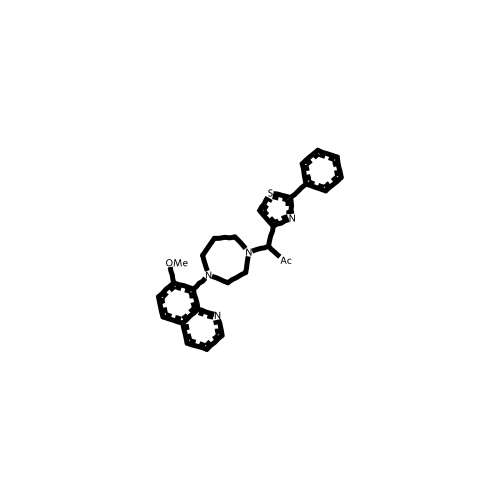 COc1ccc2cccnc2c1N1CCCN(C(C(C)=O)c2csc(-c3ccccc3)n2)CC1